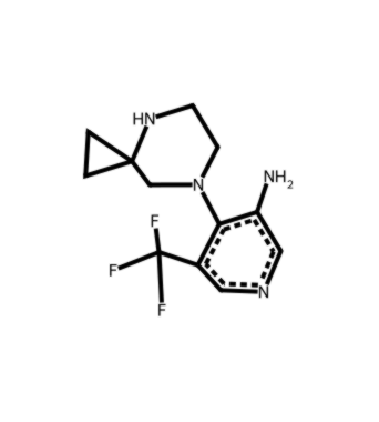 Nc1cncc(C(F)(F)F)c1N1CCNC2(CC2)C1